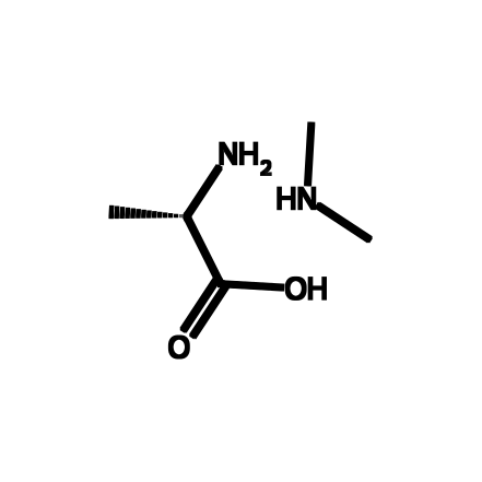 CNC.C[C@H](N)C(=O)O